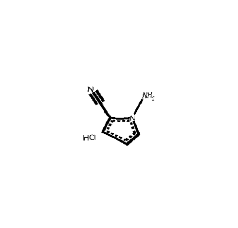 Cl.N#Cc1cccn1N